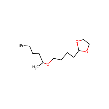 CC(C)CCCC(C)OCCCCC1OCCO1